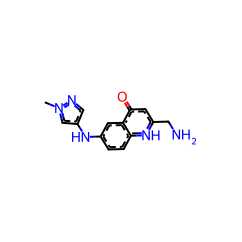 Cn1cc(Nc2ccc3[nH]c(CN)cc(=O)c3c2)cn1